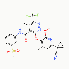 COc1nc(C2(C#N)CC2)cc(C)c1Oc1nnc(C(F)(F)F)c(C)c1C(=O)Nc1cccc(S(C)(=O)=O)c1